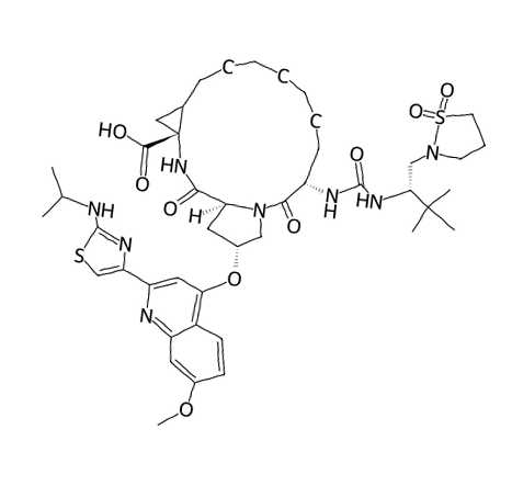 COc1ccc2c(O[C@@H]3C[C@H]4C(=O)N[C@]5(C(=O)O)CC5CCCCCCC[C@H](NC(=O)N[C@H](CN5CCCS5(=O)=O)C(C)(C)C)C(=O)N4C3)cc(-c3csc(NC(C)C)n3)nc2c1